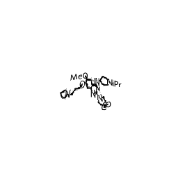 COc1cc2c(NC3CCN(C(C)C)CC3)nc(N3CCS(=O)(=O)CC3)nc2cc1OCCCN1CCCC1